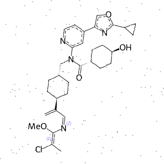 C=C(/C=N\C(OC)=C(/C)Cl)[C@H]1CC[C@H](CN(c2cc(-c3coc(C4CC4)n3)ccn2)C(=O)[C@H]2CC[C@H](O)CC2)CC1